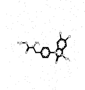 COC(=O)[C@@H](N)Cc1ccc(-n2c(=O)n(C)c3cc(Cl)c(Cl)cc32)cc1